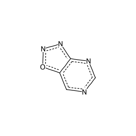 c1ncc2onnc2n1